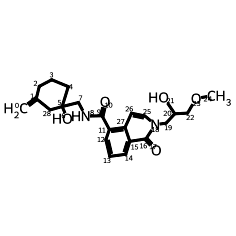 C=C1CCCC(O)(CNC(=O)c2cccc3c(=O)n(CC(O)COC)ccc23)C1